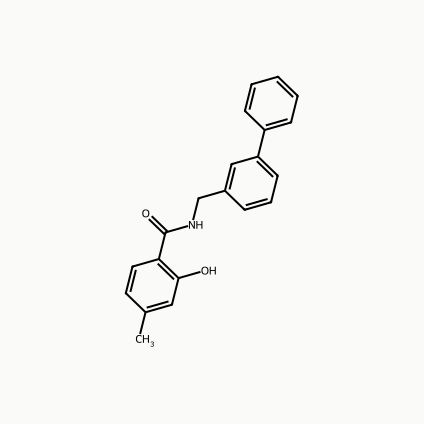 Cc1ccc(C(=O)NCc2cccc(-c3ccccc3)c2)c(O)c1